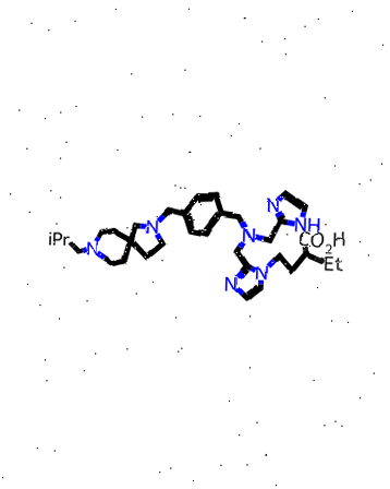 CCC(CCn1ccnc1CN(Cc1ccc(CN2CCC3(CCN(CC(C)C)CC3)C2)cc1)Cc1ncc[nH]1)C(=O)O